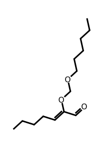 CCCCC=C(C=O)OCOCCCCCC